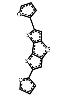 c1coc(-c2cc3sc4cc(-c5ccco5)sc4c3s2)c1